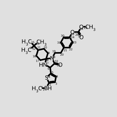 CBc1ccc(C2NC3(CCC(C(C)(C)C)CC3)N(CCc3ccc(OC(=O)OC)cc3)C2=O)s1